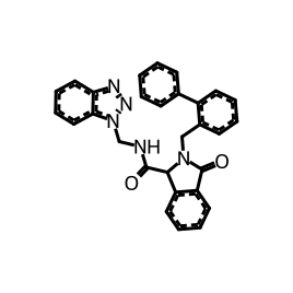 O=C(NCn1nnc2ccccc21)C1c2ccccc2C(=O)N1Cc1ccccc1-c1ccccc1